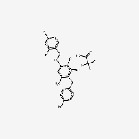 Cc1cc(NCc2ccc(F)cc2F)c(Cl)c(=O)n1Cc1ccc(C#N)cc1.O=C(O)C(F)(F)F